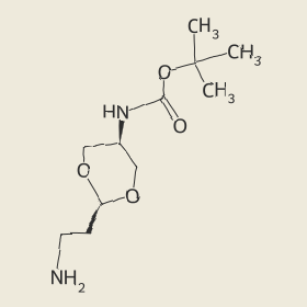 CC(C)(C)OC(=O)N[C@H]1CO[C@@H](CCN)OC1